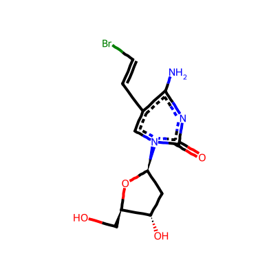 Nc1nc(=O)n([C@H]2C[C@H](O)[C@@H](CO)O2)cc1C=CBr